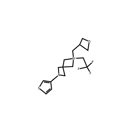 FC(F)(F)C[N+]1(CC2COC2)CC2(CN(c3ccsc3)C2)C1